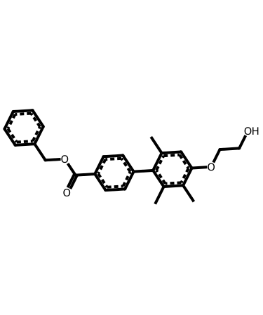 Cc1cc(OCCO)c(C)c(C)c1-c1ccc(C(=O)OCc2ccccc2)cc1